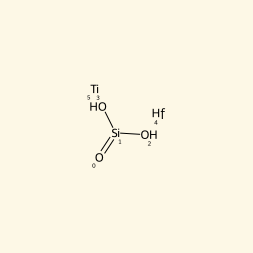 O=[Si](O)O.[Hf].[Ti]